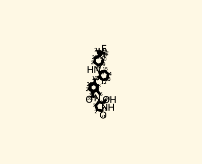 O=C1CCC(N2Cc3cc(C[C@H]4CCCC[C@@H]4N[C@H]4CC[C@@]5(CC4)CC5(F)F)ccc3C2=O)C(O)N1